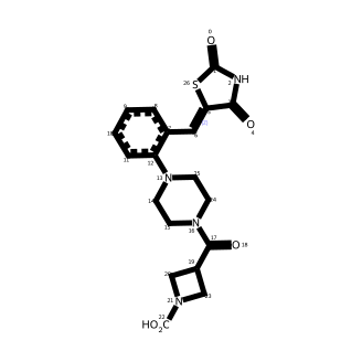 O=C1NC(=O)/C(=C/c2ccccc2N2CCN(C(=O)C3CN(C(=O)O)C3)CC2)S1